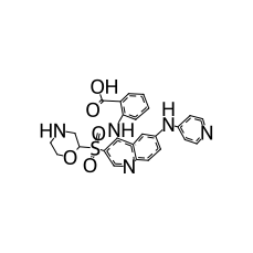 O=C(O)c1ccccc1Nc1c(S(=O)(=O)C2CNCCO2)cnc2ccc(Nc3ccncc3)cc12